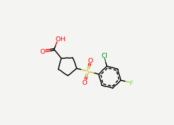 O=C(O)C1CCC(S(=O)(=O)c2ccc(F)cc2Cl)C1